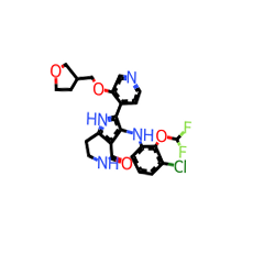 O=C1NCCc2[nH]c(-c3ccncc3OCC3CCOC3)c(Nc3cccc(Cl)c3OC(F)F)c21